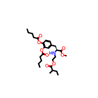 CCCCC(=O)Oc1ccc(C[C@H](NCCOC(=O)C(C)CC)C(=O)OC)cc1OC(=O)CCCC